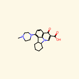 CN1CCN(c2ccc3c(=O)c(C(=O)O)cn4c3c2C2CCCCC24)CC1